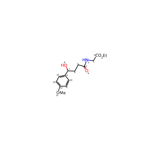 CCOC(=O)CNC(=O)CCC(O)c1ccc(OC)cc1